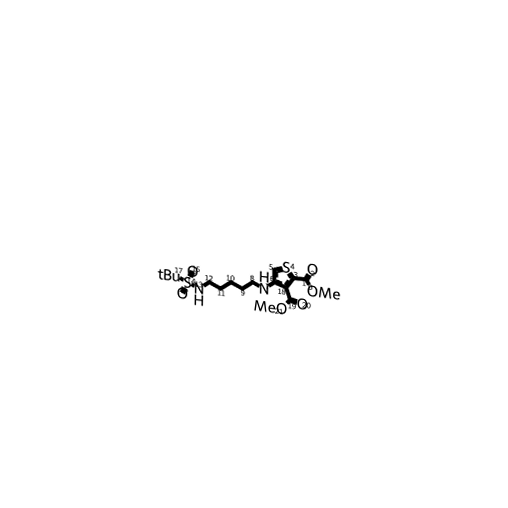 COC(=O)c1scc(NCCCCCNS(=O)(=O)C(C)(C)C)c1C(=O)OC